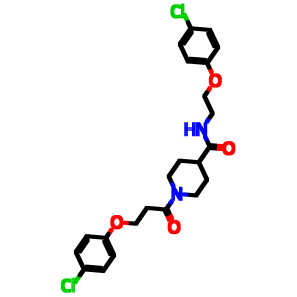 O=C(NCCOc1ccc(Cl)cc1)C1CCN(C(=O)CCOc2ccc(Cl)cc2)CC1